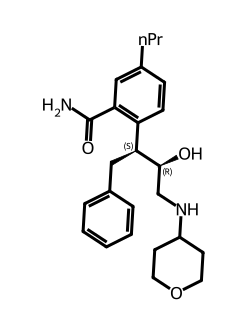 CCCc1ccc([C@H](Cc2ccccc2)[C@@H](O)CNC2CCOCC2)c(C(N)=O)c1